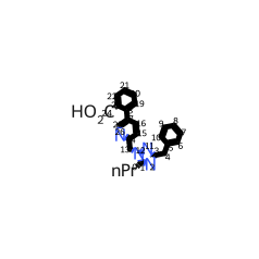 CCCc1nc(Cc2ccccc2)nn1Cc1ccc(-c2ccccc2C(=O)O)cn1